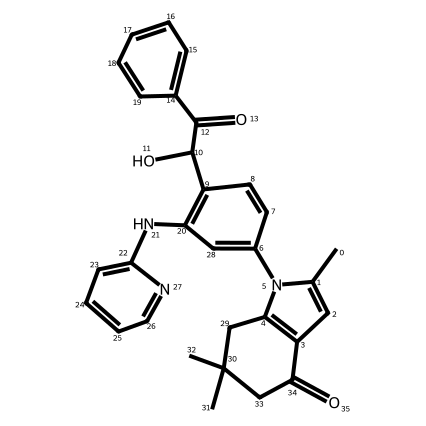 Cc1cc2c(n1-c1ccc(C(O)C(=O)c3ccccc3)c(Nc3ccccn3)c1)CC(C)(C)CC2=O